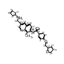 Cc1c(NC(=O)c2ccc(OCC3CCCO3)cc2)ccc2cc(CNC3CCCC3)cnc12